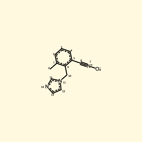 Cc1cccc(C#[N+][O-])c1Cn1ccnc1